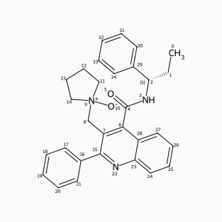 CC[C@H](NC(=O)c1c(C[N+]2([O-])CCCC2)c(-c2ccccc2)nc2ccccc12)c1ccccc1